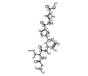 CCC(C)C(NC(=O)CN(C)C)C(=O)N(C)C(CC(OC(C)=O)c1nc(C(=O)NC23CC(C(=O)OC)(C2)C3)cs1)C(C)C